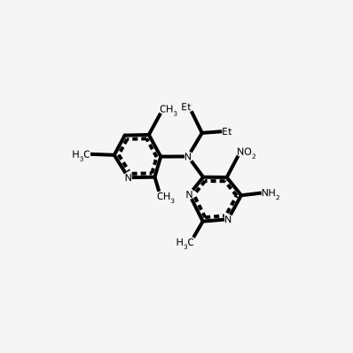 CCC(CC)N(c1nc(C)nc(N)c1[N+](=O)[O-])c1c(C)cc(C)nc1C